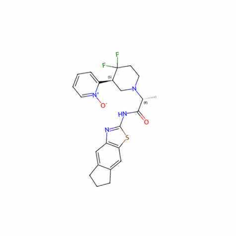 C[C@H](C(=O)Nc1nc2cc3c(cc2s1)CCC3)N1CCC(F)(F)[C@H](c2cccc[n+]2[O-])C1